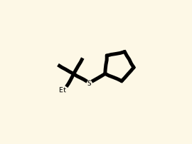 CCC(C)(C)SC1CCCC1